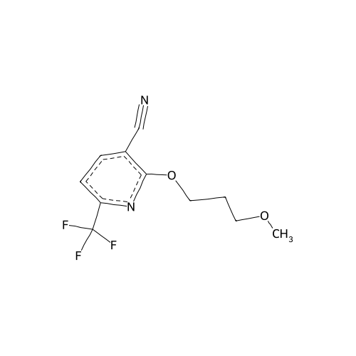 COCCCOc1nc(C(F)(F)F)ccc1C#N